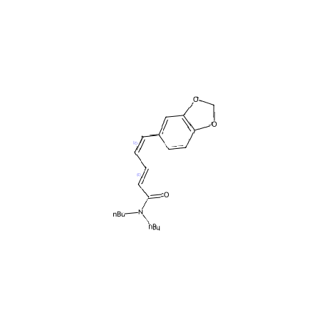 CCCCN(CCCC)C(=O)/C=C/C=C\c1ccc2c(c1)OCO2